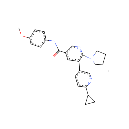 CC[C@H]1CCN(c2ncc(C(=O)Nc3ccc(OC(F)(F)F)cc3)cc2-c2ccc(C3CC3)nc2)C1